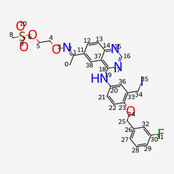 C/C(=N\OCCOS(C)(=O)=O)c1ccc2ncnc(Nc3ccc(OCc4cccc(F)c4)c(CI)c3)c2c1